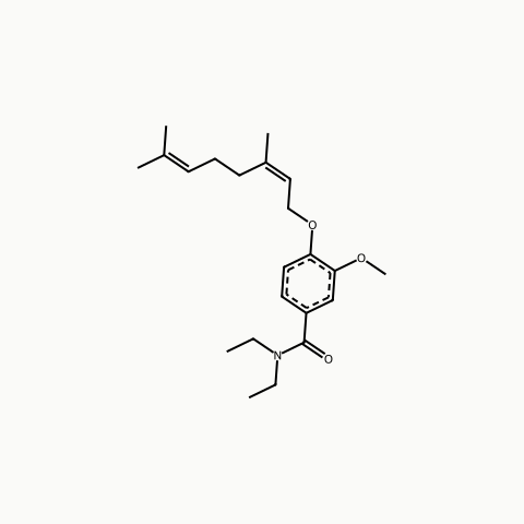 CCN(CC)C(=O)c1ccc(OCC=C(C)CCC=C(C)C)c(OC)c1